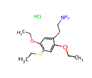 CCOc1cc(SCC)c(OCC)cc1CCN.Cl